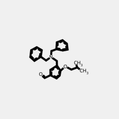 CC(C)COc1ccc(C=O)cc1CN(Cc1ccccc1)Cc1ccccc1